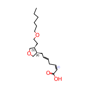 CCCCCCOCC[C@@H]1COC[C@@H]1CC=CC/C=C\C(=O)O